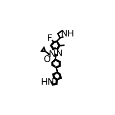 Cc1c(C2CCNC2)c(F)cc2c1nc(-c1ccc(-c3ccc4cc[nH]c4c3)cc1)n2C(=O)C1CC1